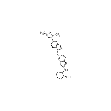 Cn1cc(-c2ccc3c(c2)C=NC3Cc2ccc3nc(NC4CCCCC4O)sc3c2)c(C(F)(F)F)n1